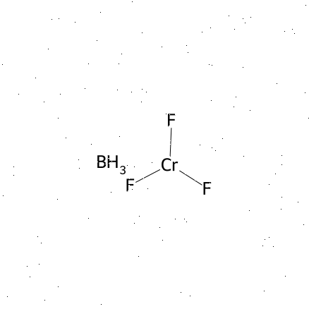 B.[F][Cr]([F])[F]